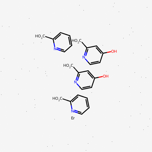 O=C(O)c1cc(O)ccn1.O=C(O)c1cc(O)ccn1.O=C(O)c1ccccn1.O=C(O)c1ccccn1.[Er]